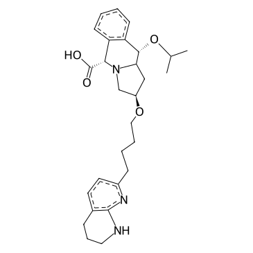 CC(C)O[C@H]1c2ccccc2[C@@H](C(=O)O)N2C[C@H](OCCCCc3ccc4c(n3)NCCC4)CC12